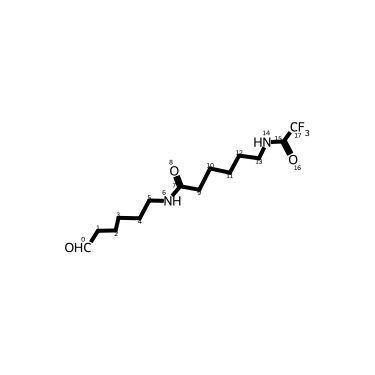 O=CCCCCCNC(=O)CCCCCNC(=O)C(F)(F)F